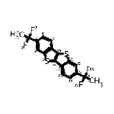 CC(F)(F)c1ccc2c(c1)sc1c3ccc(C(C)(F)F)cc3sc21